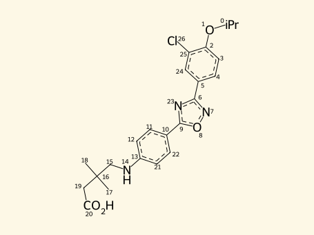 CC(C)Oc1ccc(-c2noc(-c3ccc(NCC(C)(C)CC(=O)O)cc3)n2)cc1Cl